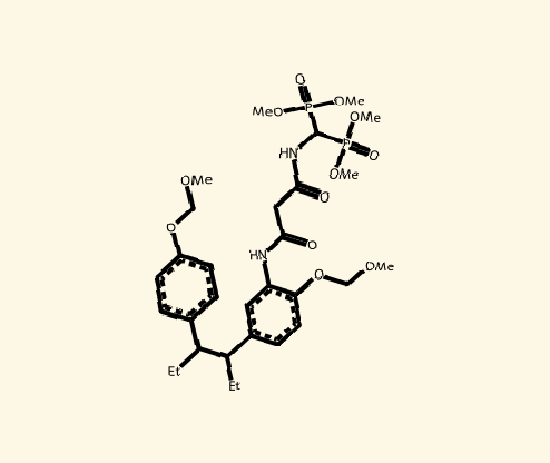 CCC(c1ccc(OCOC)cc1)C(CC)c1ccc(OCOC)c(NC(=O)CC(=O)NC(P(=O)(OC)OC)P(=O)(OC)OC)c1